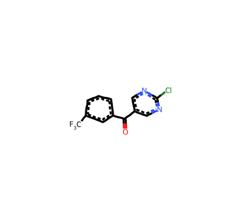 O=C(c1cnc(Cl)nc1)c1cccc(C(F)(F)F)c1